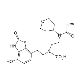 C=CC(=O)N(CCN(CCc1ccc(O)c2[nH]c(=O)sc12)C(=O)O)C1CCOCC1